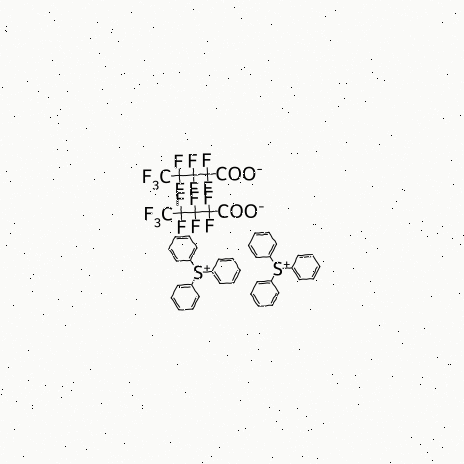 O=C([O-])C(F)(F)C(F)(F)C(F)(F)C(F)(F)F.O=C([O-])C(F)(F)C(F)(F)C(F)(F)C(F)(F)F.c1ccc([S+](c2ccccc2)c2ccccc2)cc1.c1ccc([S+](c2ccccc2)c2ccccc2)cc1